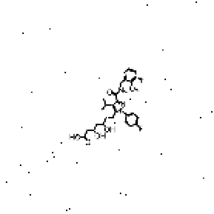 COc1c(F)cccc1CN(C)C(=O)c1nn(-c2ccc(F)cc2)c(CCC(O)CC(O)CC(=O)O)c1C(C)C